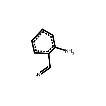 [N]=Cc1ccccc1N